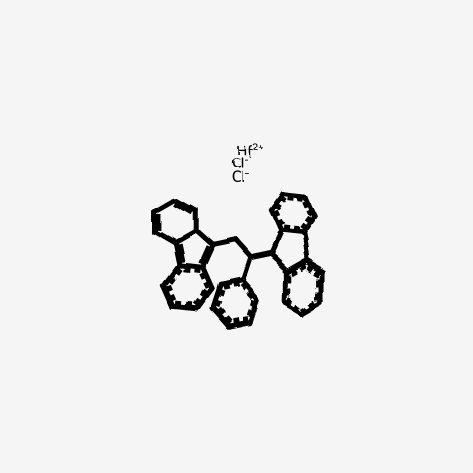 C1=CC2=c3ccccc3=C(CC(c3ccccc3)C3c4ccccc4-c4ccccc43)C2C=C1.[Cl-].[Cl-].[Hf+2]